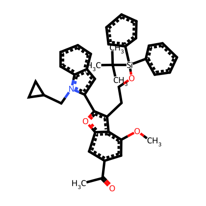 COc1cc(C(C)=O)cc2oc(-c3cc4ccccc4n3CC3CC3)c(CCO[Si](c3ccccc3)(c3ccccc3)C(C)(C)C)c12